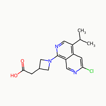 CC(C)c1cnc(N2CC(CC(=O)O)C2)c2cnc(Cl)cc12